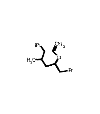 C=COC(CC(C)C)CC(C)CC(C)C